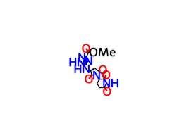 COC(=O)c1n[nH]c(NC2=CC(=O)N(C3CCC(=O)NC3=O)C2=O)n1